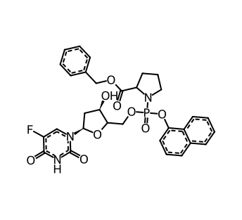 O=C(OCc1ccccc1)C1CCCN1P(=O)(OCC1O[C@@H](n2cc(F)c(=O)[nH]c2=O)C[C@H]1O)Oc1cccc2ccccc12